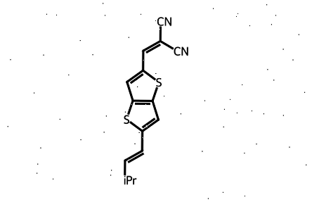 CC(C)/C=C/c1cc2sc(C=C(C#N)C#N)cc2s1